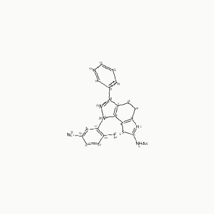 CC(=O)Nc1nc2c(s1)-c1c(c(-c3cccnc3)nn1-c1cc(C#N)ccc1F)CC2